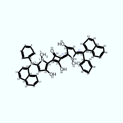 Cn1c(N(c2ccccc2)c2cccc3ccccc23)cc(O)c1C1=C(O)/C(=c2/c(O)c/c(=C(/c3ccccc3)c3cccc4ccccc34)n2C)C1=O